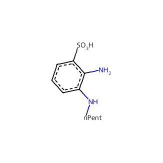 CCCCCNc1cccc(S(=O)(=O)O)c1N